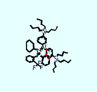 CCCC[Si](CCCC)(CCCC)c1ccc(P(c2ccc([Si](CCCC)(CCCC)CCCC)cc2)N(C2CCCCC2)P(c2ccccc2C(F)(F)F)c2ccccc2C(F)(F)F)cc1